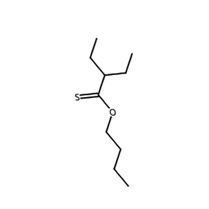 CCCCOC(=S)C(CC)CC